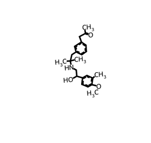 COc1ccc(C(O)CNC(C)(C)Cc2cccc(CC(C)=O)c2)cc1C